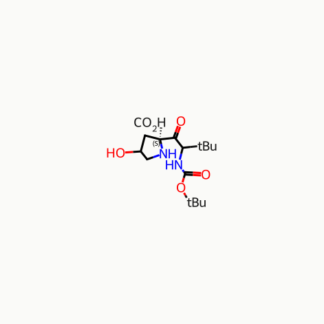 CC(C)(C)OC(=O)NC(C(=O)[C@]1(C(=O)O)CC(O)CN1)C(C)(C)C